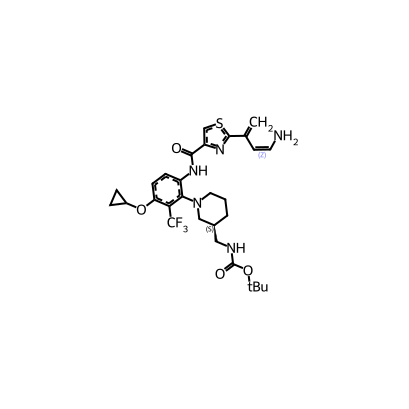 C=C(/C=C\N)c1nc(C(=O)Nc2ccc(OC3CC3)c(C(F)(F)F)c2N2CCC[C@@H](CNC(=O)OC(C)(C)C)C2)cs1